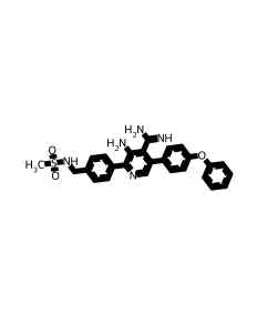 CS(=O)(=O)NCc1ccc(-c2ncc(-c3ccc(Oc4ccccc4)cc3)c(C(=N)N)c2N)cc1